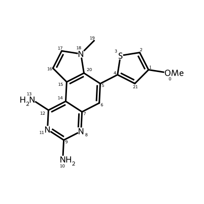 COc1csc(-c2cc3nc(N)nc(N)c3c3ccn(C)c23)c1